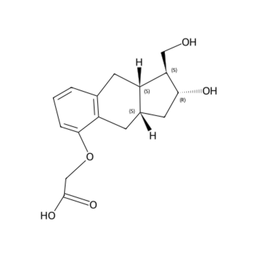 O=C(O)COc1cccc2c1C[C@H]1C[C@@H](O)[C@H](CO)[C@H]1C2